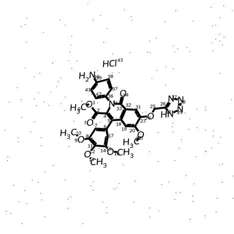 COC(=O)c1c(-c2cc(OC)c(OC)c(OC)c2)c2cc(OC)c(OCc3nnn[nH]3)cc2c(=O)n1-c1ccc(N)cc1.Cl